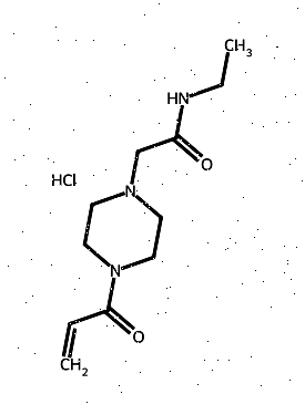 C=CC(=O)N1CCN(CC(=O)NCC)CC1.Cl